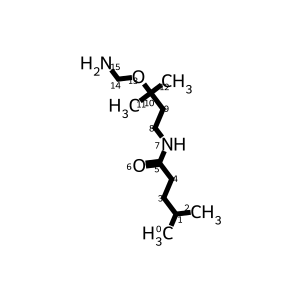 CC(C)CCC(=O)NCCC(C)(C)OCN